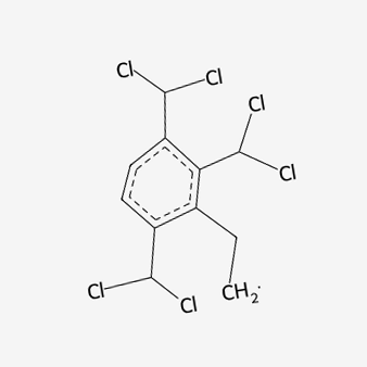 [CH2]Cc1c(C(Cl)Cl)ccc(C(Cl)Cl)c1C(Cl)Cl